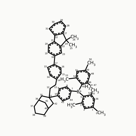 Cc1cc(C)c(B(c2ccc(C3(CCc4ccc(-c5ccc6c(c5)C(C)(C)c5ccccc5-6)cc4)CC4CCCC(C4)C3)cc2)c2c(C)cc(C)cc2C)c(C)c1